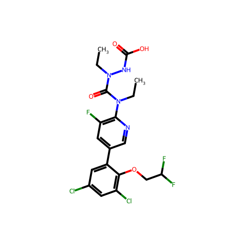 CCN(NC(=O)O)C(=O)N(CC)c1ncc(-c2cc(Cl)cc(Cl)c2OCC(F)F)cc1F